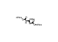 CCCCCCOC(=O)/N=C(/NC(=O)OCCCCCC)SC